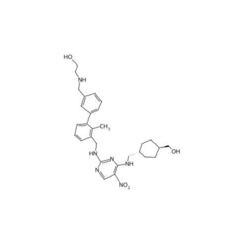 Cc1c(CNc2ncc([N+](=O)[O-])c(NC[C@H]3CC[C@H](CO)CC3)n2)cccc1-c1cccc(CNCCO)c1